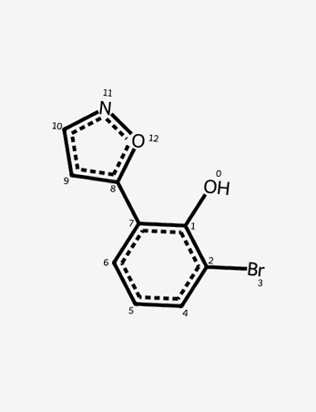 Oc1c(Br)cccc1-c1ccno1